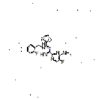 N=C(/C=C(\NCc1ccccc1F)c1ncco1)c1ncc(F)c(N)n1